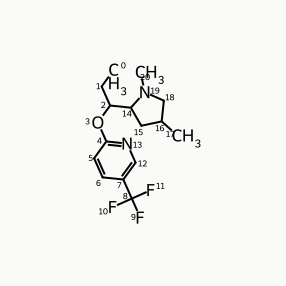 CCC(Oc1ccc(C(F)(F)F)cn1)C1CC(C)CN1C